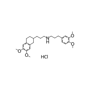 COc1ccc(CCCNCCCC2CCc3cc(OC)c(OC)cc3C2)cc1OC.Cl